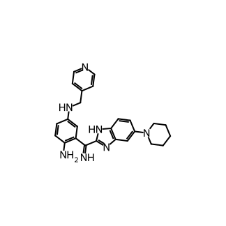 N=C(c1nc2cc(N3CCCCC3)ccc2[nH]1)c1cc(NCc2ccncc2)ccc1N